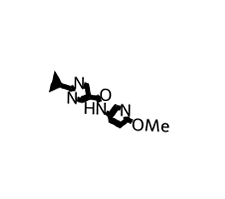 COc1ccc(NC(=O)c2cnc(C3CC3)nc2)cn1